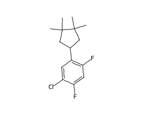 CC1(C)CC(c2cc(Cl)c(F)cc2F)CC1(C)C